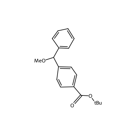 COC(c1ccccc1)c1ccc(C(=O)OC(C)(C)C)cc1